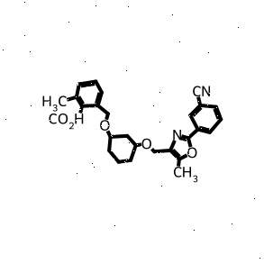 Cc1cccc(COC2CCCC(OCc3nc(-c4cccc(C#N)c4)oc3C)C2)c1C(=O)O